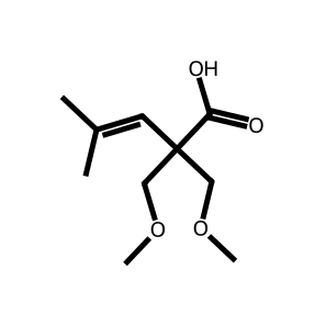 COCC(C=C(C)C)(COC)C(=O)O